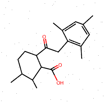 Cc1cc(C)c(CC(=O)C2CCC(C)C(C)C2C(=O)O)c(C)c1